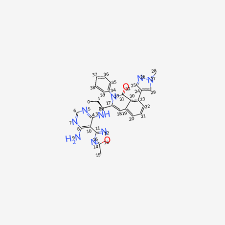 CC[C@H](Nc1ncnc(N)c1-c1noc(C)n1)c1cc2cccc(-c3cnn(C)c3)c2c(=O)n1-c1ccccc1